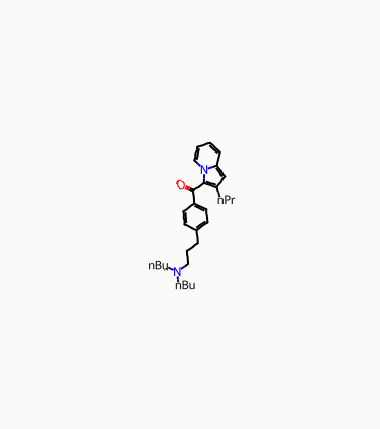 CCCCN(CCCC)CCCc1ccc(C(=O)c2c(CCC)cc3ccccn23)cc1